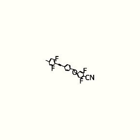 Cc1cc(F)c(C#Cc2ccc(COc3cc(F)c(C#N)c(F)c3)cc2)c(F)c1